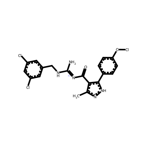 Cc1n[nH]c(-c2ccc(OCl)cc2)c1C(=O)/N=C(\N)NCc1cc(Cl)cc(Cl)c1